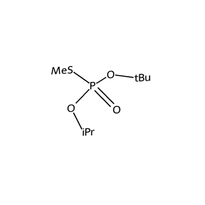 CSP(=O)(OC(C)C)OC(C)(C)C